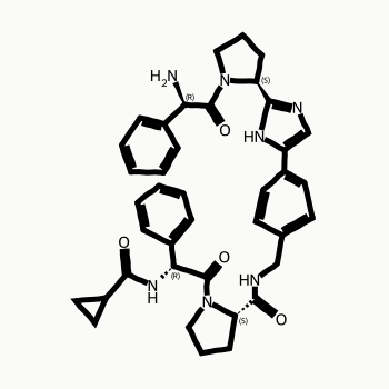 N[C@@H](C(=O)N1CCC[C@H]1c1ncc(-c2ccc(CNC(=O)[C@@H]3CCCN3C(=O)[C@H](NC(=O)C3CC3)c3ccccc3)cc2)[nH]1)c1ccccc1